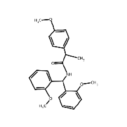 COc1ccc(C(C)C(=O)NC(c2ccccc2OC)c2ccccc2OC)cc1